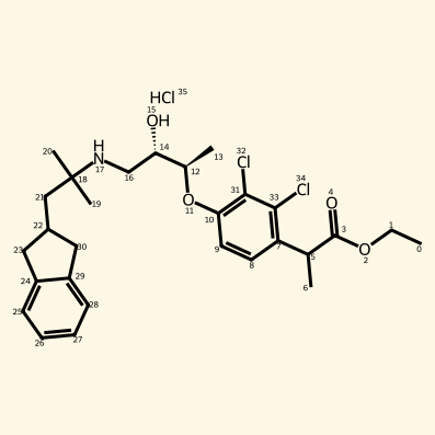 CCOC(=O)C(C)c1ccc(O[C@H](C)[C@@H](O)CNC(C)(C)CC2Cc3ccccc3C2)c(Cl)c1Cl.Cl